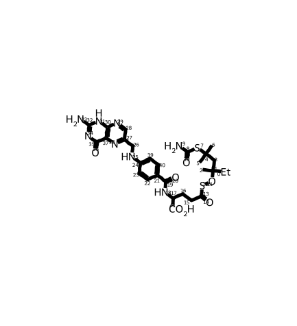 CCC(C)(CC(C)(C)SC(N)=O)OSC(=O)CCC(NC(=O)c1ccc(NCc2cnc3[nH]c(N)nc(=O)c3n2)cc1)C(=O)O